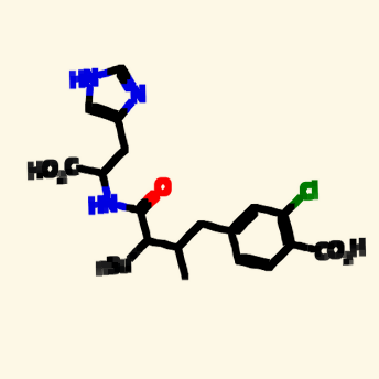 CCCCC(C(=O)NC(Cc1c[nH]cn1)C(=O)O)C(C)Cc1ccc(C(=O)O)c(Cl)c1